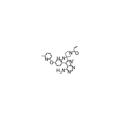 C=CC(=O)N1CCC(N)(c2c(-c3ccc(Oc4cccc(C)n4)cc3)c3c(N)ncnc3n2C)C1